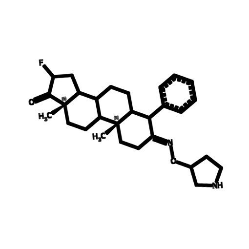 C[C@]12CCC(=NOC3CCNC3)C(c3ccccc3)C1CCC1C2CC[C@]2(C)C(=O)C(F)CC12